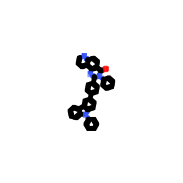 O=c1c2ccc3ncccc3c2nc(-c2ccc(-c3ccc4c(c3)c3ccccc3n4-c3ccccc3)cc2)n1-c1ccccc1